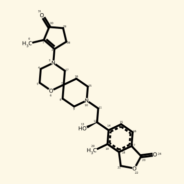 CC1=C(N2CCOC3(CCN(C[C@H](O)c4ccc5c(c4C)COC5=O)CC3)C2)CCC1=O